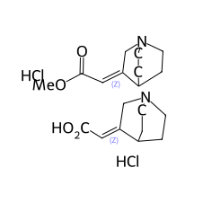 COC(=O)/C=C1\CN2CCC1CC2.Cl.Cl.O=C(O)/C=C1\CN2CCC1CC2